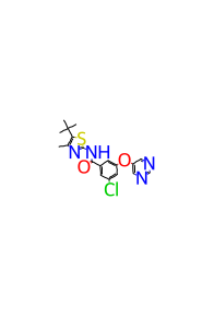 Cc1nc(NC(=O)c2cc(Cl)cc(Oc3cncnc3)c2)sc1C(C)(C)C